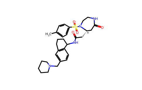 Cc1ccc(S(=O)(=O)N2CCNC(=O)C[C@@H]2CC(=O)NC2CCCc3cc(CN4CCCCC4)ccc32)cc1